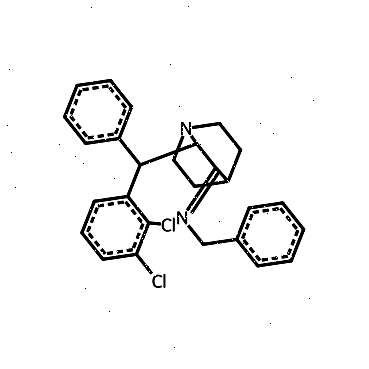 Clc1cccc(C(c2ccccc2)C2C(=NCc3ccccc3)C3CCN2CC3)c1Cl